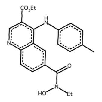 CCOC(=O)c1cnc2ccc(C(=O)N(O)CC)cc2c1Nc1ccc(C)cc1